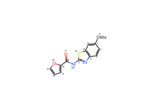 COc1ccc2nc(NC(=O)c3ccco3)sc2c1